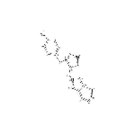 N#Cc1ccc(Cn2cncc2Cn2nc3ccccc3n2)cc1